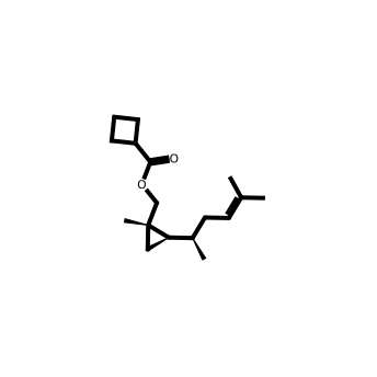 CC(C)=CC[C@@H](C)[C@H]1C[C@]1(C)COC(=O)C1CCC1